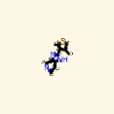 Cc1csc(C)c1-c1nc2cnccc2[nH]1